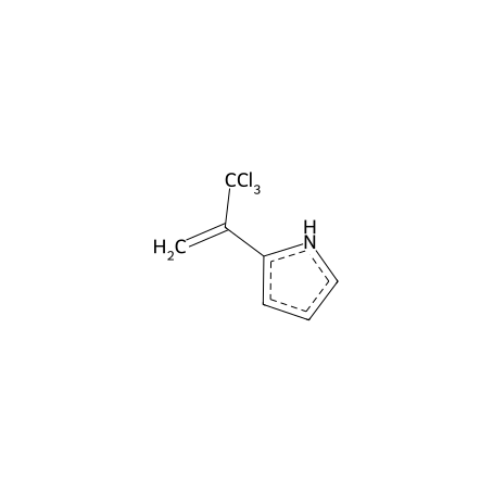 C=C(c1ccc[nH]1)C(Cl)(Cl)Cl